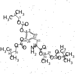 CC(C)COC(=O)Oc1ccc(C[C@H](N)C(=O)O[C@@H](C)COC(=O)OC(C)(C)C)cc1OC(=O)OCC(C)C